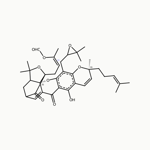 CC(C)=CCC[C@@]1(C)C=Cc2c(O)c3c(c(CC4OC4(C)C)c2O1)O[C@]12C(=CC4CC1C(C)(C)OC2(C/C=C(/C)OC=O)C4=O)C3=O